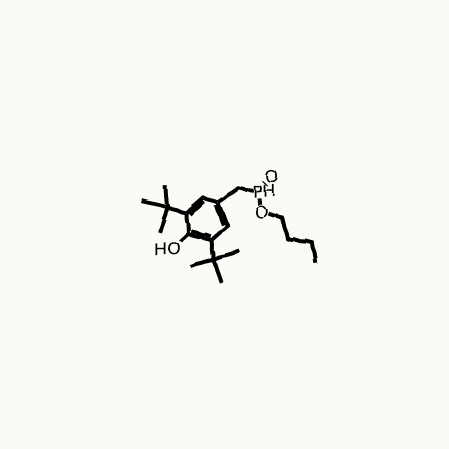 CCCCO[PH](=O)Cc1cc(C(C)(C)C)c(O)c(C(C)(C)C)c1